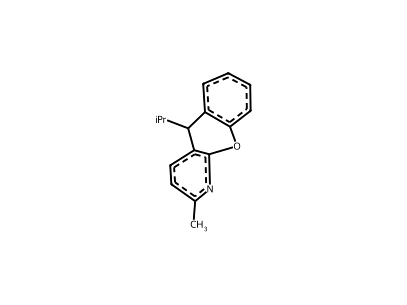 Cc1ccc2c(n1)Oc1ccccc1C2C(C)C